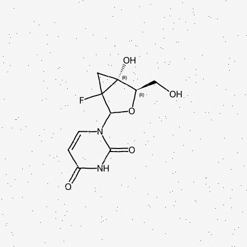 O=c1ccn(C2O[C@H](CO)[C@]3(O)CC23F)c(=O)[nH]1